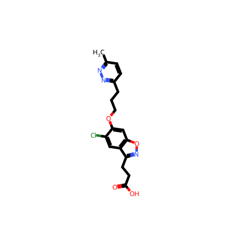 Cc1ccc(CCCOc2cc3onc(CCC(=O)O)c3cc2Cl)nn1